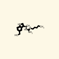 C=[N+](NC(N)=NCCCCC)c1c[nH]c2ccc(CO)cc12